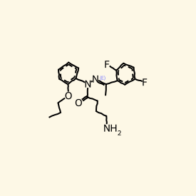 CCCOc1ccccc1N(/N=C(\C)c1cc(F)ccc1F)C(=O)CCCN